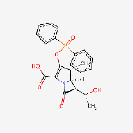 C[C@@H](O)[C@H]1C(=O)N2C(C(=O)O)=C(OP(=O)(c3ccccc3)c3ccccc3)[C@H](C)[C@@H]12